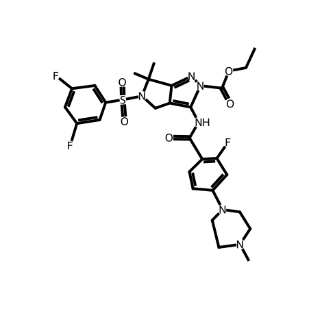 CCOC(=O)n1nc2c(c1NC(=O)c1ccc(N3CCN(C)CC3)cc1F)CN(S(=O)(=O)c1cc(F)cc(F)c1)C2(C)C